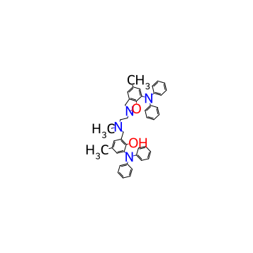 Cc1cc(CN(C)CCN2Cc3cc(C)cc(N(c4ccccc4)c4ccccc4)c3O2)c(O)c(N(c2ccccc2)c2ccccc2)c1